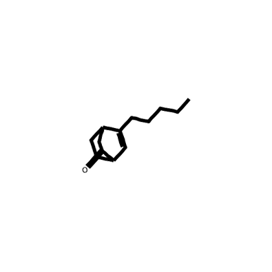 CCCCCC1=CC2CCC1CC2=O